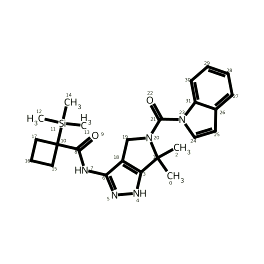 CC1(C)c2[nH]nc(NC(=O)C3([Si](C)(C)C)CCC3)c2CN1C(=O)n1ccc2ccccc21